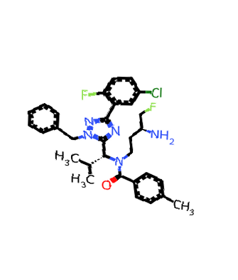 Cc1ccc(C(=O)N(CC[C@H](N)CF)[C@@H](c2nc(-c3cc(Cl)ccc3F)nn2Cc2ccccc2)C(C)C)cc1